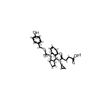 O=C(O)CCC(=O)N(C1CC1)C1c2ccccc2N(C(=O)OCc2ccc(O)cc2)C2CCCC21